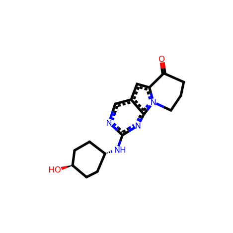 O=C1CCCn2c1cc1cnc(N[C@H]3CC[C@H](O)CC3)nc12